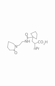 CCCC(CC1(C(=O)NCCN2CCCCC2=O)CCCC1)C(=O)O